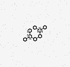 c1ccc(-c2nc(-c3cccc(-c4cccc(-c5nc(-c6ccccc6)nc(-c6ccccc6)n5)c4)c3)cc(-c3ccccn3)n2)cc1